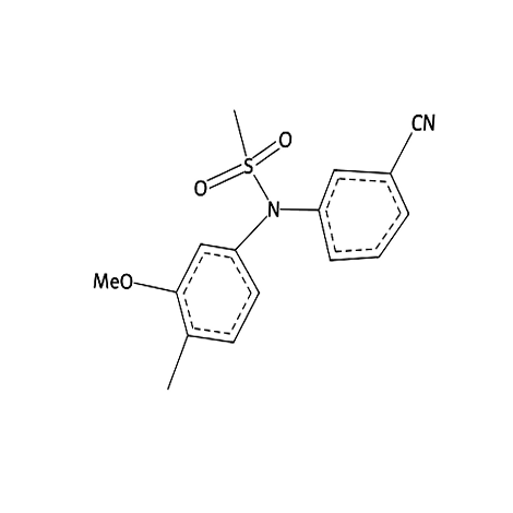 COc1cc(N(c2cccc(C#N)c2)S(C)(=O)=O)ccc1C